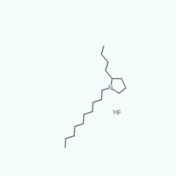 CCCCCCCCCCN1CCCC1CCCC.F